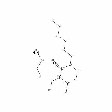 CCCCCCC(CC)C(=O)N(CC)CC.CCCN